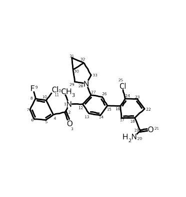 CN(C(=O)c1cccc(F)c1Cl)c1ccc(-c2cc(C(N)=O)ccc2Cl)cc1N1CC2CC2C1